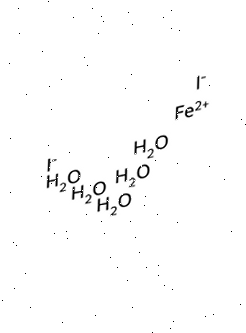 O.O.O.O.O.[Fe+2].[I-].[I-]